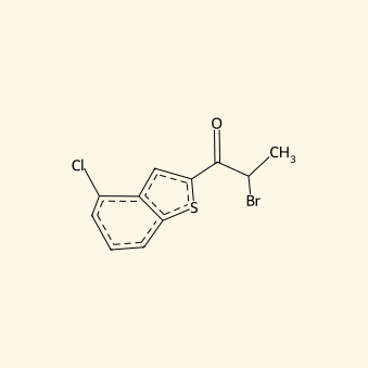 CC(Br)C(=O)c1cc2c(Cl)cccc2s1